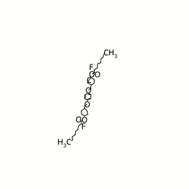 CCCCCCC[C@@H](F)C(=O)OC1CCC(COc2ccc(OCC3CCC(OC(=O)[C@H](F)CCCCCCC)CC3)cc2)CC1